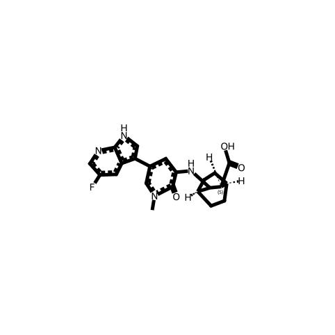 Cn1cc(-c2c[nH]c3ncc(F)cc23)cc(NC2[C@H]3CC[C@H](CC3)[C@@H]2C(=O)O)c1=O